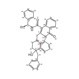 CC[C@H](NC(=O)c1c(CN2CCC(O)(Cc3ccccc3)CC2)n(-c2ccccc2)c(=O)c2ccccc12)c1ccccc1